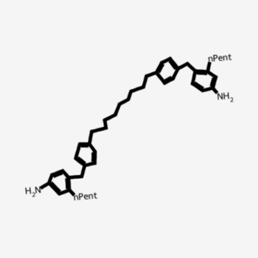 CCCCCc1cc(N)ccc1Cc1ccc(CCCCCCCCCc2ccc(Cc3ccc(N)cc3CCCCC)cc2)cc1